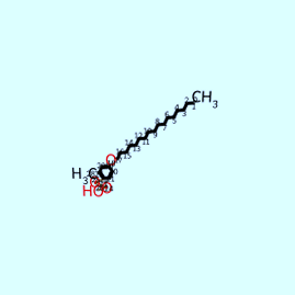 CCCCCCCCCCCCCCCCCCOc1ccc(S(=O)(=O)O)c(C)c1